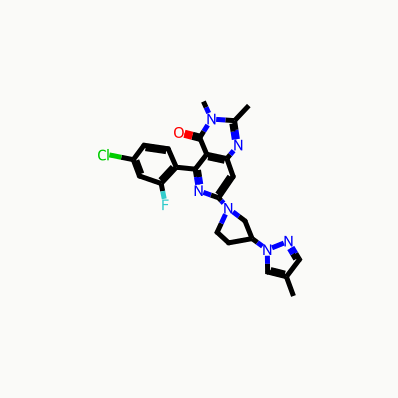 Cc1cnn(C2CCN(c3cc4nc(C)n(C)c(=O)c4c(-c4ccc(Cl)cc4F)n3)C2)c1